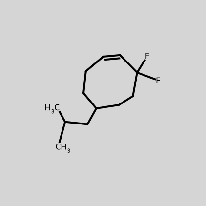 CC(C)CC1CC/C=C\C(F)(F)CC1